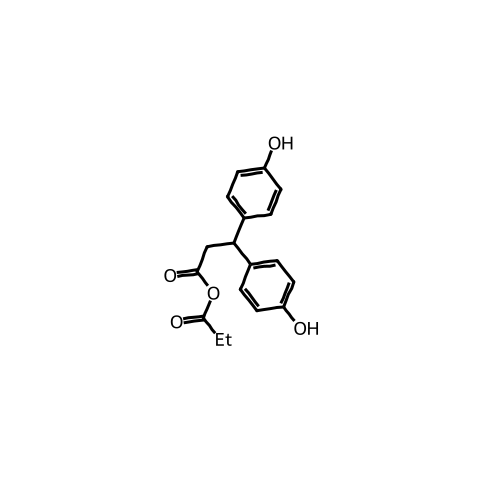 CCC(=O)OC(=O)CC(c1ccc(O)cc1)c1ccc(O)cc1